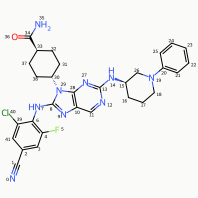 N#Cc1cc(F)c(Nc2nc3cnc(N[C@@H]4CCCN(c5ccccc5)C4)nc3n2[C@H]2CC[C@H](C(N)=O)CC2)c(Cl)c1